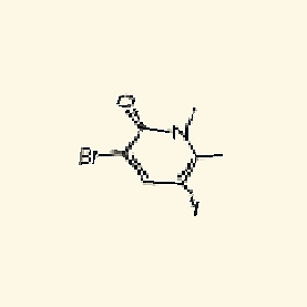 Cc1c(I)cc(Br)c(=O)n1C